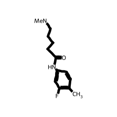 CNCCCCC(=O)Nc1ccc(C)c(F)c1